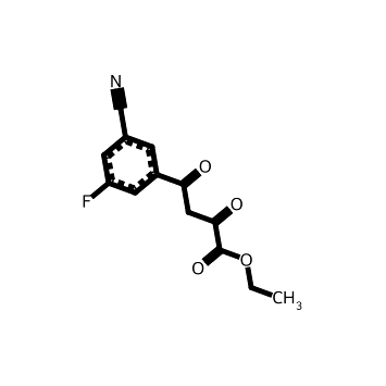 CCOC(=O)C(=O)CC(=O)c1cc(F)cc(C#N)c1